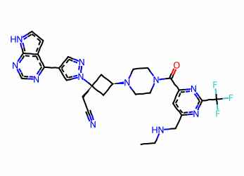 CCNCc1cc(C(=O)N2CCN([C@H]3C[C@](CC#N)(n4cc(-c5ncnc6[nH]ccc56)cn4)C3)CC2)nc(C(F)(F)F)n1